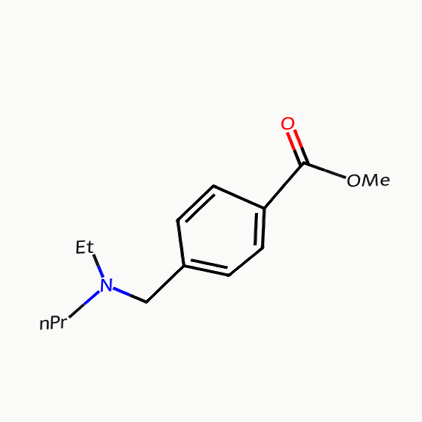 CCCN(CC)Cc1ccc(C(=O)OC)cc1